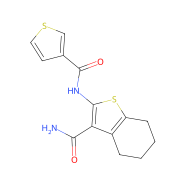 NC(=O)c1c(NC(=O)c2ccsc2)sc2c1CCCC2